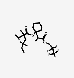 CCC(C)(C)CC(C)(C(=O)OC1(C(C)C(=O)OCC(F)(F)C(F)(F)F)CCCCC1)C(C)C